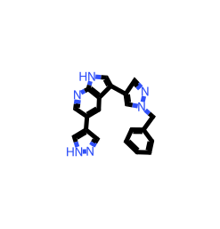 c1ccc(Cn2cc(-c3c[nH]c4ncc(-c5cn[nH]c5)cc34)cn2)cc1